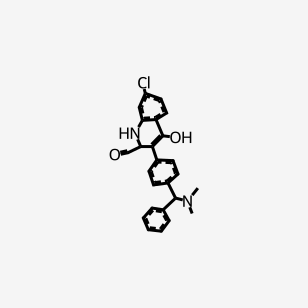 CN(C)C(c1ccccc1)c1ccc(C2=C(O)c3ccc(Cl)cc3NC2C=O)cc1